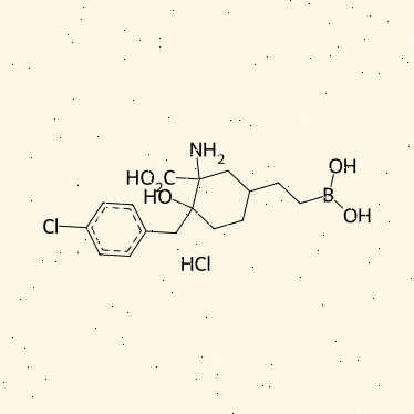 Cl.NC1(C(=O)O)CC(CCB(O)O)CCC1(O)Cc1ccc(Cl)cc1